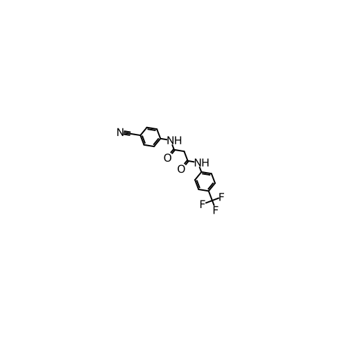 N#Cc1ccc(NC(=O)CC(=O)Nc2ccc(C(F)(F)F)cc2)cc1